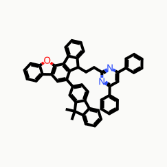 CC1(C)c2ccccc2-c2ccc(-c3cc4c(oc5ccccc54)c4c3C(CCc3nc(-c5ccccc5)cc(-c5ccccc5)n3)c3ccccc3-4)cc21